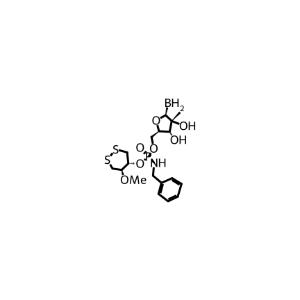 B[C@@H]1O[C@H](COP(=O)(NCc2ccccc2)O[C@H]2CSSC[C@@H]2OC)[C@@H](O)[C@@]1(C)O